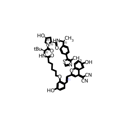 Cc1ncsc1-c1ccc([C@H](C)NC(=O)[C@@H]2C[C@@H](O)CN2C(=O)[C@@H](NC(=O)CCCCCOc2cc(O)ccc2/C=C/C2=CC(=C(C#N)C#N)c3cc(O)ccc3O2)C(C)(C)C)cc1